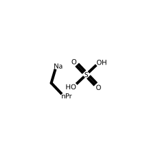 CCC[CH2][Na].O=S(=O)(O)O